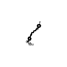 CC(C)(C)OC(=O)c1ccc(C#CCCCCCOc2ccc(F)cc2)cc1